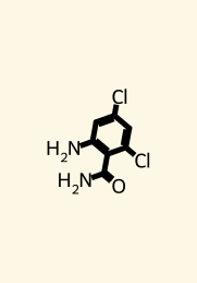 NC(=O)c1c(N)cc(Cl)cc1Cl